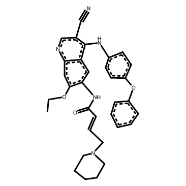 CCOc1cc2ncc(C#N)c(Nc3ccc(Oc4ccccc4)cc3)c2cc1NC(=O)/C=C/CN1CCCCC1